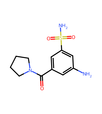 Nc1cc(C(=O)N2CCCC2)cc(S(N)(=O)=O)c1